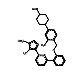 CCOC(=O)c1cnn(-c2cccc(-c3ccccc3OCc3ccc(C4CCC(OC)CC4)cc3C)n2)c1C(F)(F)F